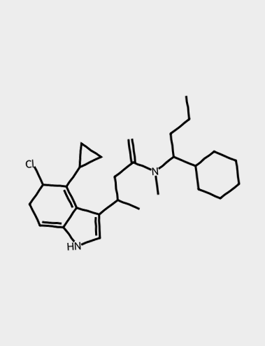 C=C(CC(C)c1c[nH]c2c1=C(C1CC1)C(Cl)CC=2)N(C)C(CCC)C1CCCCC1